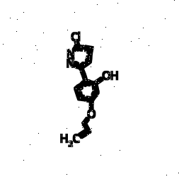 C=CCOc1ccc(-c2ccc(Cl)nn2)c(O)c1